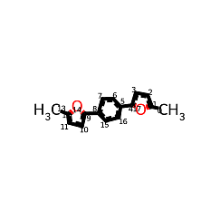 Cc1ccc(-c2ccc(-c3ccc(C)o3)cc2)o1